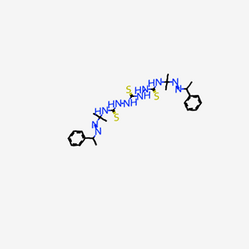 CC(N=NC(C)(C)NC(=S)NNC(=S)NNC(=S)NC(C)(C)N=NC(C)c1ccccc1)c1ccccc1